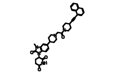 Cn1c(=O)n(C2CCC(=O)NC2=O)c2ccc(C3CCN(CC(=O)N4CCC(C#Cc5cccc6ccccc56)CC4)CC3)cc21